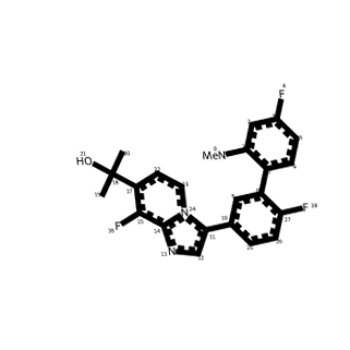 CNc1cc(F)ccc1-c1cc(-c2cnc3c(F)c(C(C)(C)O)ccn23)ccc1F